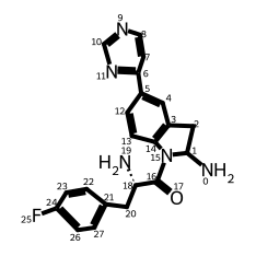 NC1Cc2cc(-c3ccncn3)ccc2N1C(=O)[C@@H](N)Cc1ccc(F)cc1